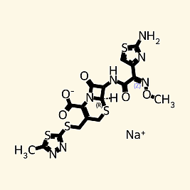 CO/N=C(\C(=O)NC1C(=O)N2C(C(=O)[O-])=C(CSc3nnc(C)s3)CS[C@H]12)c1csc(N)n1.[Na+]